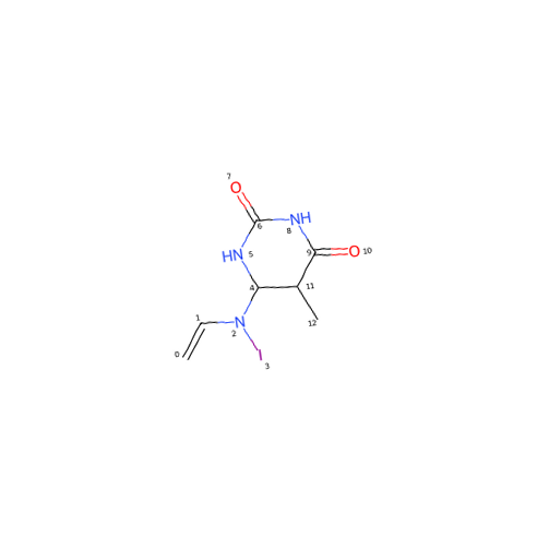 C=CN(I)C1NC(=O)NC(=O)C1C